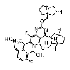 CCc1c(F)ccc(=C/CO)/c1=C(\C)c1nc2c3c(nc(OC[C@@]45CCCN4C[C@H](F)C5)nc3c1F)N1C[C@@H]3CC[C@@H](N3)[C@H]1CO2